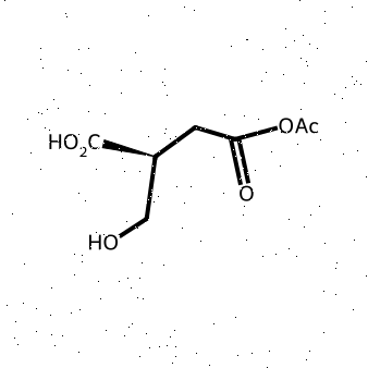 CC(=O)OC(=O)C[C@@H](CO)C(=O)O